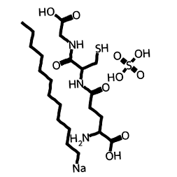 CCCCCCCCCCC[CH2][Na].NC(CCC(=O)NC(CS)C(=O)NCC(=O)O)C(=O)O.O=S(=O)(O)O